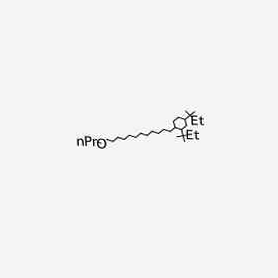 [CH2]CCOCCCCCCCCCCCCC1CCC(C(C)(C)CC)CC1C(C)(C)CC